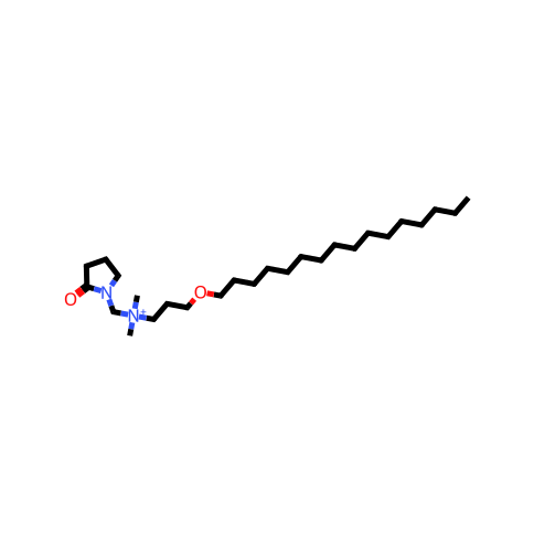 CCCCCCCCCCCCCCCCOCCC[N+](C)(C)CN1CCCC1=O